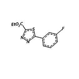 CCOC(=O)c1nnc(-c2cccc(F)c2)s1